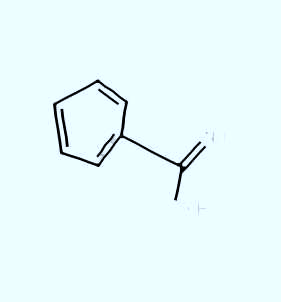 N=C(c1ccccc1)S(=O)(=O)O